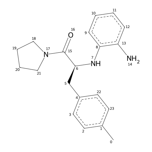 Cc1ccc(C[C@H](Nc2ccccc2N)C(=O)N2CCCC2)cc1